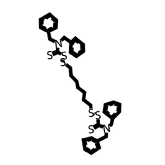 S=C(SSCCCCCCCSSC(=S)N(Cc1ccccc1)Cc1ccccc1)N(Cc1ccccc1)Cc1ccccc1